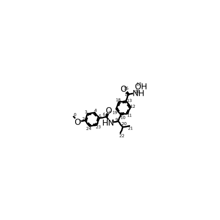 COc1ccc(C(=O)NC(c2ccc(C(=O)NO)cc2)C(C)C)cc1